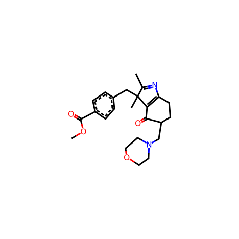 COC(=O)c1ccc(CC2(C)C(C)=NC3=C2C(=O)C(CN2CCOCC2)CC3)cc1